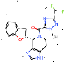 Cn1nc(C(F)F)nc1C(=O)N1CCc2[nH]cnc2[C@@H]1c1cc2ccccc2o1